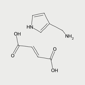 NCc1cc[nH]c1.O=C(O)/C=C/C(=O)O